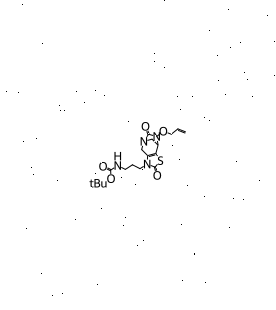 C=CCON1C(=O)N2Cc3c(sc(=O)n3CCCNC(=O)OC(C)(C)C)C1C2